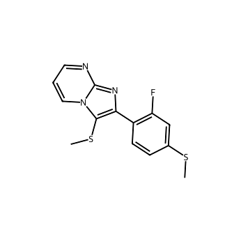 CSc1ccc(-c2nc3ncccn3c2SC)c(F)c1